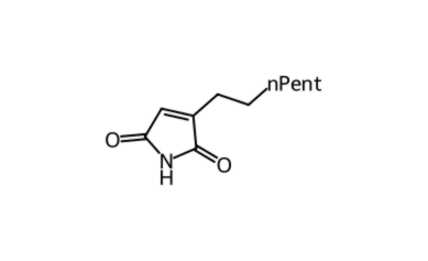 CCCCCCCC1=CC(=O)NC1=O